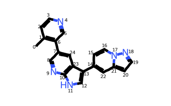 Cc1ccncc1-c1cnc2[nH]cc(-c3ccn4nccc4c3)c2c1